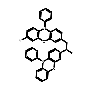 CC(C)c1ccc2c(c1)Oc1cc(CC(C)c3ccc4c(c3)Sc3ccccc3N4c3ccccc3)ccc1N2c1ccccc1